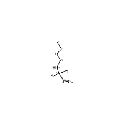 CCCCNC(C)(C)[C]=O